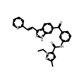 CCn1nc(C)cc1C(=O)Nc1cccc(C(=O)c2ccc3c(/C=C/c4ccccn4)n[nH]c3c2)c1